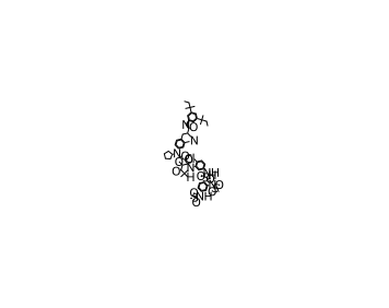 CCC(C)(C)c1cc(C(C)(C)CC)c2oc(C(C#N)Cc3ccc(N(C(=O)OC(C(=O)Nc4cc(NS(=O)(=O)c5ccc(NS(C)(=O)=O)cc5NS(C)(=O)=O)ccc4Cl)C(=O)C(C)(C)C)C4CCCC4)cc3C)nc2c1